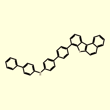 c1ccc(-c2ccc(Nc3ccc(-c4ccc(-c5cccc6c5sc5ccc7ccccc7c56)cc4)cc3)cc2)cc1